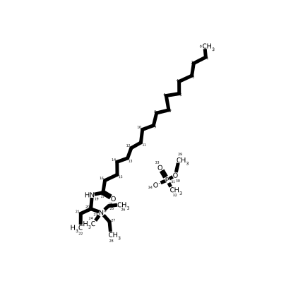 CCCCCCCCCCCCCCCCCC(=O)NC(CC)[N+](C)(CC)CC.COP(C)(=O)[O-]